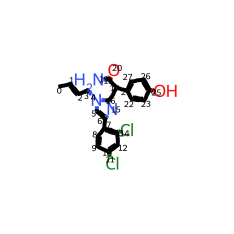 C/C=C/Cn1cc(-c2ccc(Cl)cc2Cl)nc1C(C(N)=O)c1ccc(O)cc1